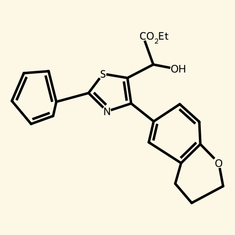 CCOC(=O)C(O)c1sc(-c2ccccc2)nc1-c1ccc2c(c1)CCCO2